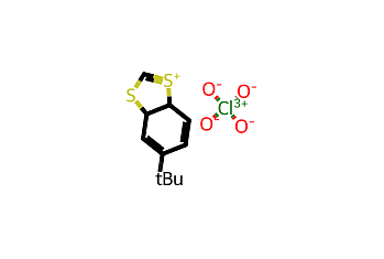 CC(C)(C)C1=CC2SC=[S+]C2C=C1.[O-][Cl+3]([O-])([O-])[O-]